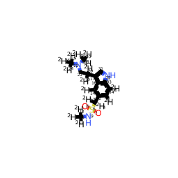 [2H]c1c(C([2H])([2H])S(=O)(=O)NC([2H])([2H])[2H])c([2H])c2c(C([2H])([2H])CN(C([2H])([2H])[2H])C([2H])([2H])[2H])c[nH]c2c1[2H]